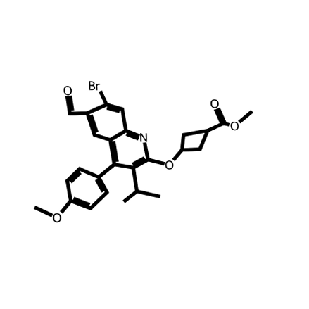 COC(=O)C1CC(Oc2nc3cc(Br)c(C=O)cc3c(-c3ccc(OC)cc3)c2C(C)C)C1